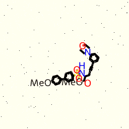 COC(=O)C(CC#Cc1cccc(N2CCOCC2)c1)NS(=O)(=O)c1ccc(-c2ccc(OC)cc2)cc1